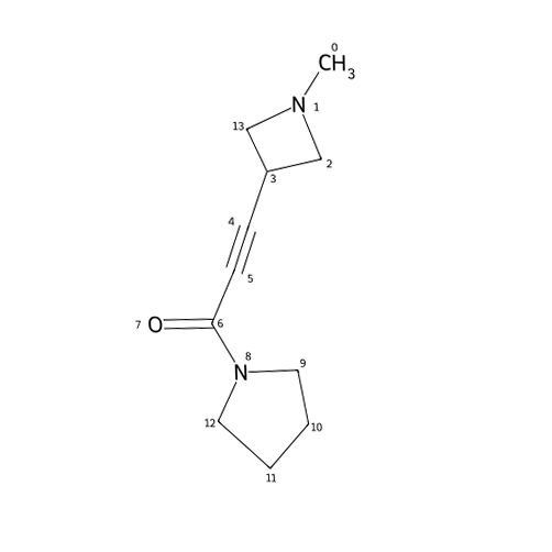 CN1CC(C#CC(=O)N2CCCC2)C1